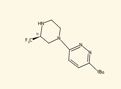 CC(C)(C)c1ccc(N2CCN[C@H](C(F)(F)F)C2)nn1